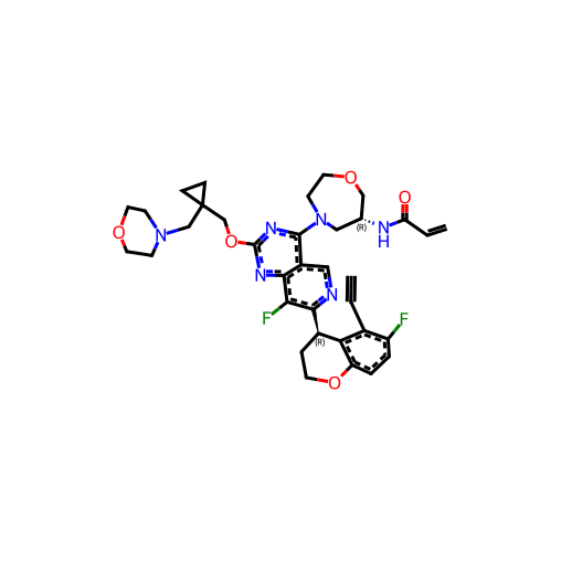 C#Cc1c(F)ccc2c1[C@H](c1ncc3c(N4CCOC[C@H](NC(=O)C=C)C4)nc(OCC4(CN5CCOCC5)CC4)nc3c1F)CCO2